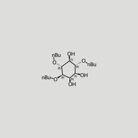 CCCCO[C@@H]1[C@@H](O)[C@@H](O)[C@@H](OCCCC)[C@H](OCCCC)[C@H]1O